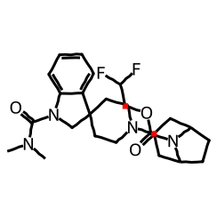 CN(C)C(=O)N1CC2(CCN(C3CC4CCC(C3)N4C(=O)OCC(F)F)CC2)c2ccccc21